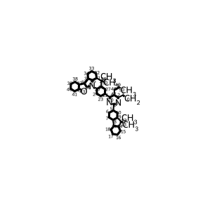 C=Cc1nc(-c2ccc3c(c2)C(C)(C)c2ccccc2-3)nc(-c2ccc3c(c2)C(C)(C)c2cccc4c5c6ccccc6oc5n-3c24)c1/C=C\C